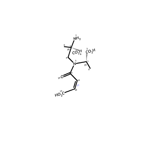 C[C@@H](C(=O)O)N(C[C@@](C)(N)C(=O)O)C(=O)/C=C\C(=O)O